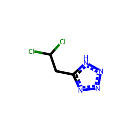 ClC(Cl)Cc1nnn[nH]1